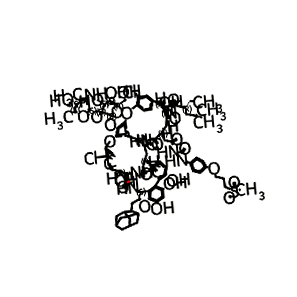 CC[C@H](CC(C)C)C(=O)N[C@H]1C(=O)C[C@@H](CC(=O)NC(=O)Nc2ccc(OCCCS(C)(=O)=O)cc2)C(=O)N[C@H]2C(=O)C[C@H]3C(=O)N[C@H](C(=O)N[C@H](C(=O)CC4C5CC6CC(C5)CC4C6)c4cc(O)cc(O)c4-c4cc3ccc4O)[C@H](O)c3ccc(c(Cl)c3)Oc3cc2cc(c3O[C@@H]2O[C@H](CO)[C@@H](O)[C@H](O)[C@H]2O[C@H]2C[C@](C)(N)[C@H](O)[C@H](C)O2)Oc2ccc(cc2Cl)[C@H]1O